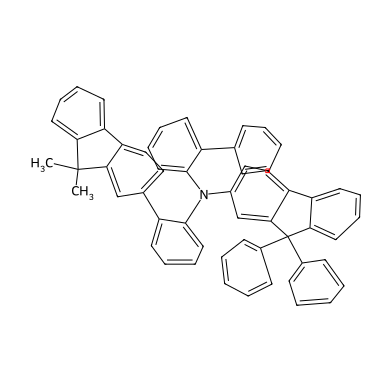 CC1(C)c2ccccc2-c2ccc(-c3ccccc3N(c3ccc4c(c3)C(c3ccccc3)(c3ccccc3)c3ccccc3-4)c3ccccc3-c3ccccc3)cc21